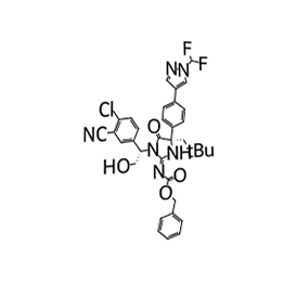 CC(C)(C)C[C@]1(c2ccc(-c3cnn(C(F)F)c3)cc2)NC(=NC(=O)OCc2ccccc2)N([C@H](CO)c2ccc(Cl)c(C#N)c2)C1=O